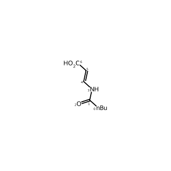 CCCCC(=O)NC=CC(=O)O